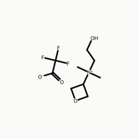 C[N+](C)(CCO)C1COC1.O=C([O-])C(F)(F)F